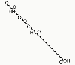 O=[C]CCC(=O)NCCCOCCOCCOCCCNC(=O)CCCCCCCCCCCCCCCCC(=O)O